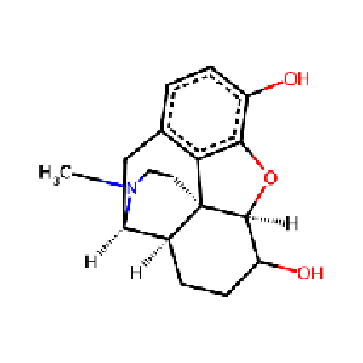 CN1CC[C@]23c4c5ccc(O)c4O[C@H]2C(O)CC[C@H]3[C@H]1C5